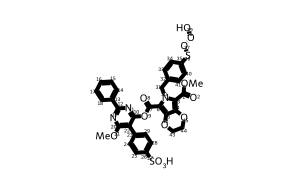 COC(=O)c1c2c(c(C(=O)Oc3nc(-c4ccccc4)nc(OC)c3-c3ccc(S(=O)(=O)O)cc3)n1Cc1ccc(SOOO)cc1)OCCO2